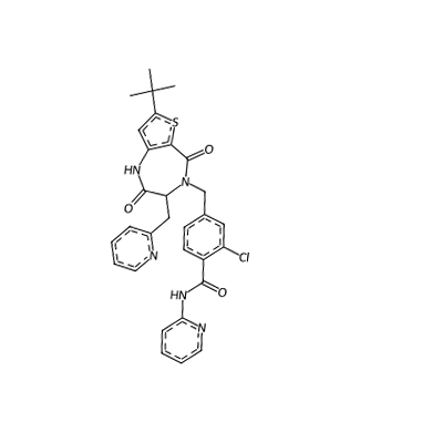 CC(C)(C)c1cc2c(s1)C(=O)N(Cc1ccc(C(=O)Nc3ccccn3)c(Cl)c1)C(Cc1ccccn1)C(=O)N2